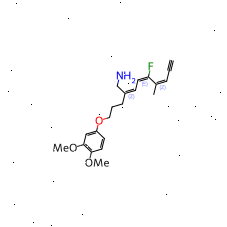 C#C\C=C(C)/C(F)=C\C=C(/CN)CCCOc1ccc(OC)c(OC)c1